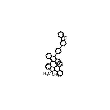 CC1(C)c2cccc(-c3c4ccccc4c(-c4ccc(-c5ccc6oc7ccccc7c6c5)cc4)c4ccccc34)c2-c2c1c1ccccc1c1ccccc21